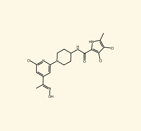 CC(=NO)c1cc(Cl)nc(N2CCC(NC(=O)c3[nH]c(C)c(Cl)c3Cl)CC2)c1